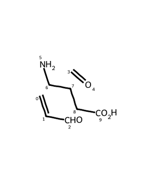 C=CC=O.C=O.NCCCC(=O)O